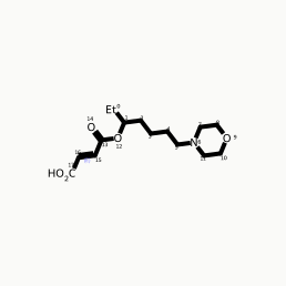 CCC(CCCCN1CCOCC1)OC(=O)/C=C/C(=O)O